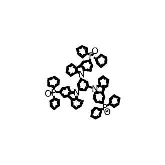 O=P(c1ccccc1)(c1ccccc1)c1ccc2c(c1)c1ccccc1n2-c1cc(-n2c3ccccc3c3cc(P(=O)(c4ccccc4)c4ccccc4)ccc32)cc(-n2c3ccccc3c3cc(P(=O)(c4ccccc4)c4ccccc4)ccc32)c1